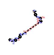 Cc1ncsc1-c1ccc(CNC(=O)[C@@H]2C[C@@H](O)CN2C(=O)[C@@H](NC(=O)COCCOCCOCCOCCOCC(=O)NCCn2ncc3cc(C(=O)Nc4ccc5[nH]c(CN6CCC[C@@H]6C)nc5c4)ccc32)C(C)(C)C)cc1